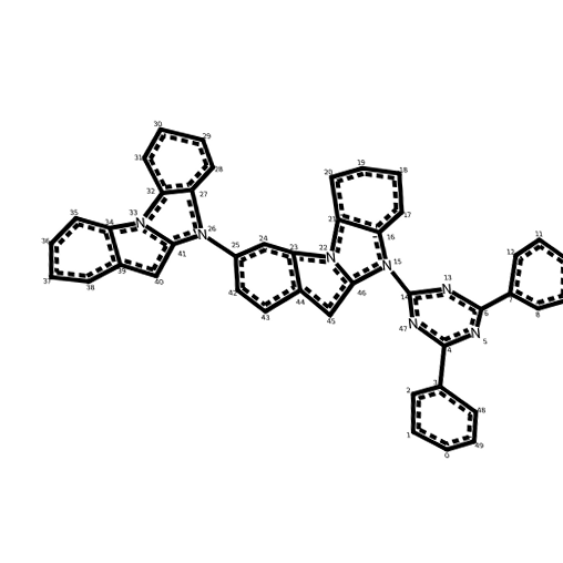 c1ccc(-c2nc(-c3ccccc3)nc(-n3c4ccccc4n4c5cc(-n6c7ccccc7n7c8ccccc8cc67)ccc5cc34)n2)cc1